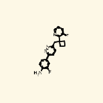 Nc1ccc(-c2ccc(CC3(c4ncccc4F)CCC3)nn2)cc1F